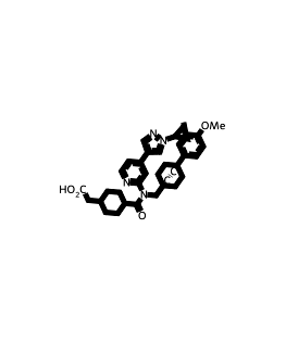 COc1ccc(C23CCC(CN(C(=O)C4CCC(CC(=O)O)CC4)c4cc(-c5cnn(C6CC6)c5)ccn4)(CC2)CC3)cc1C